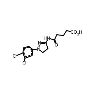 O=C(O)CCCC(=O)NC1=NN(c2ccc(Cl)c(Cl)c2)CC1